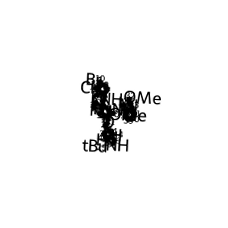 COc1cc2c(Nc3ccc(Br)c(Cl)c3F)ncnc2cc1OCC1C[C@H]2CNC(C(C)(C)C)[C@H]2C1.COc1nc(N)c2ccccc2n1